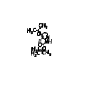 CCC(C)Oc1ccnc(NC(=O)OC(C)(C)C)c1F